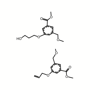 C=CCOc1cc(COC)cc(C(=O)OC)c1.COCc1cc(OCCCO)cc(C(=O)OC)c1